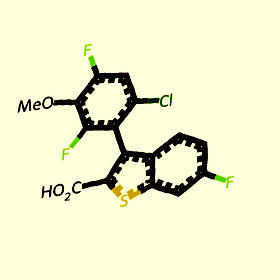 COc1c(F)cc(Cl)c(-c2c(C(=O)O)sc3cc(F)ccc23)c1F